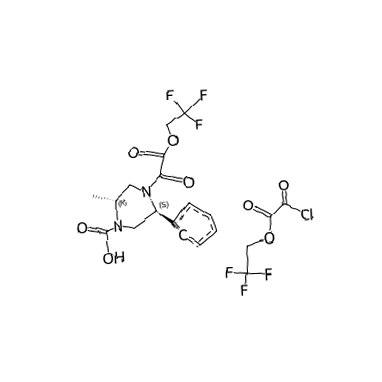 C[C@@H]1CN(C(=O)C(=O)OCC(F)(F)F)[C@@H](c2ccccc2)CN1C(=O)O.O=C(Cl)C(=O)OCC(F)(F)F